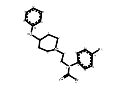 CCC(=O)N(CCN1CCC(Oc2ccccc2)CC1)c1ccc(F)cc1